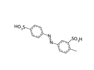 Cc1ccc(N=Nc2ccc(S(=O)(=O)O)cc2)cc1S(=O)(=O)O